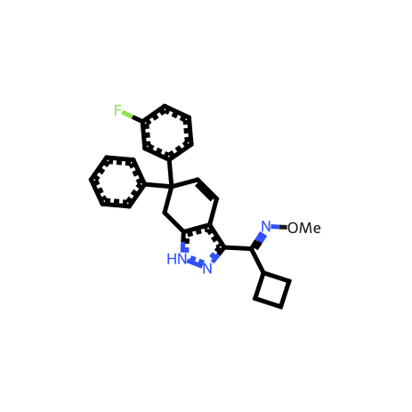 CON=C(c1n[nH]c2c1C=CC(c1ccccc1)(c1cccc(F)c1)C2)C1CCC1